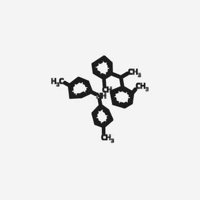 Cc1ccc(Nc2ccc(C)cc2)cc1.Cc1ccccc1C(C)c1ccccc1C